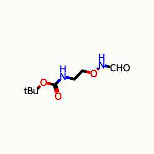 CC(C)(C)OC(=O)NCCONC=O